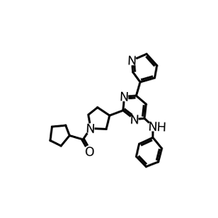 O=C(C1CCCC1)N1CCC(c2nc(Nc3ccccc3)cc(-c3cccnc3)n2)C1